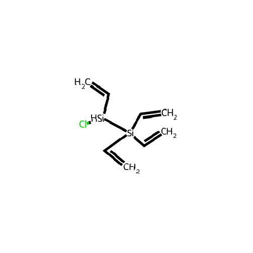 C=C[SiH](Cl)[Si](C=C)(C=C)C=C